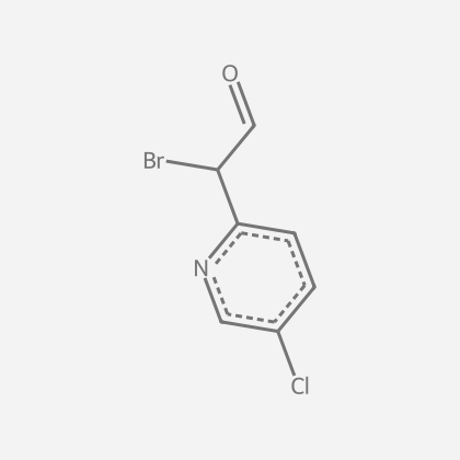 O=CC(Br)c1ccc(Cl)cn1